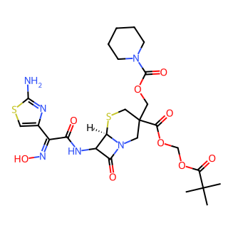 CC(C)(C)C(=O)OCOC(=O)C1(COC(=O)N2CCCCC2)CS[C@@H]2C(NC(=O)C(=NO)c3csc(N)n3)C(=O)N2C1